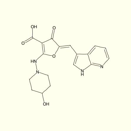 O=C(O)C1=C(NN2CCC(O)CC2)O/C(=C\c2c[nH]c3ncccc23)C1=O